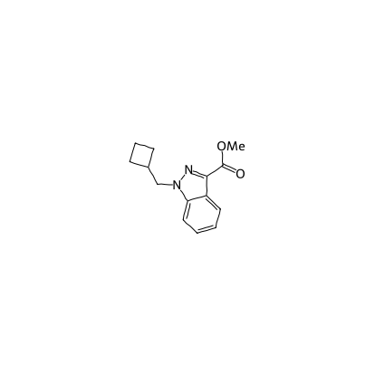 COC(=O)c1nn(CC2CCC2)c2ccccc12